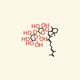 C=C(C)/C(C)=C/CC/C=C(C)/C(C)=C/C(O[C@H]1O[C@H](CO)[C@@H](O[C@@H]2O[C@H](CO)[C@@H](O)[C@H](O)[C@H]2O)[C@H](O)[C@H]1O)C1=C(C)CCCC1(C)C